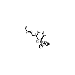 CC=CCC1CCC=C([N+](=O)[O-])C1